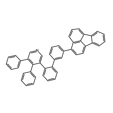 c1ccc(-c2cncc(-c3ccccc3-c3cccc(-c4ccc5c6c(cccc46)-c4ccccc4-5)c3)c2-c2ccccc2)cc1